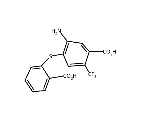 Nc1cc(C(=O)O)c(C(F)(F)F)cc1Sc1ccccc1C(=O)O